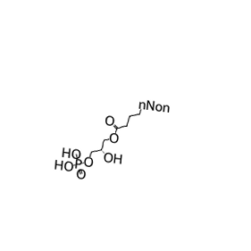 CCCCCCCCCCCCC(=O)OC[C@H](O)COP(=O)(O)O